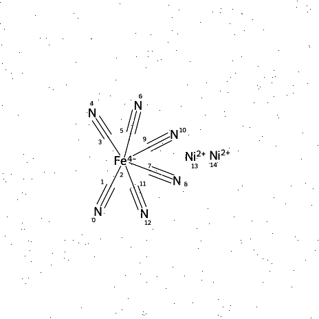 N#[C][Fe-4]([C]#N)([C]#N)([C]#N)([C]#N)[C]#N.[Ni+2].[Ni+2]